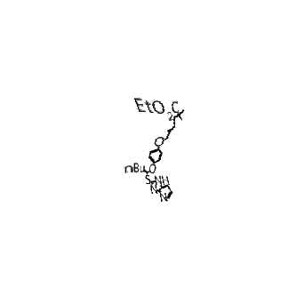 CCCCC(Oc1ccc(OCCCCC(C)(C)C(=O)OCC)cc1)Sc1nc2ncccc2[nH]1